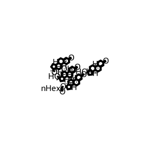 CCCCCCC(=O)O[C@H]1CC[C@H]2[C@@H]3CCC4=CC(=O)CC[C@]4(C)[C@H]3CC[C@]12C.C[C@]1(O)CC[C@H]2[C@@H]3CCC4=CC(=O)CC[C@]4(C)[C@@]3(F)[C@@H](O)C[C@@]21C.C[C@]12CCC(=O)C=C1CC[C@@H]1[C@@H]2CC[C@@]2(C)[C@H]1CC[C@]2(C)O.C[C@]12CC[C@H]3[C@@H](CCC4=CC(=O)CC[C@@]43C)[C@@H]1CC[C@@H]2O